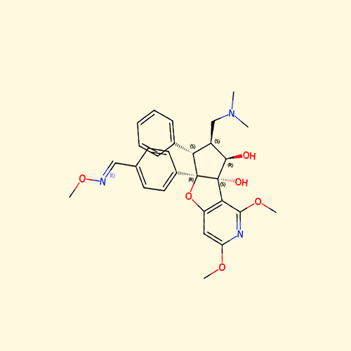 CO/N=C/c1ccc([C@@]23Oc4cc(OC)nc(OC)c4[C@]2(O)[C@H](O)[C@H](CN(C)C)[C@H]3c2ccccc2)cc1